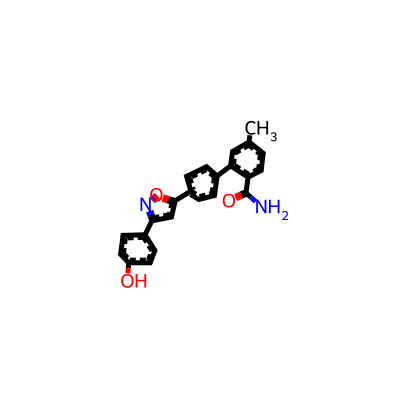 Cc1ccc(C(N)=O)c(-c2ccc(-c3cc(-c4ccc(O)cc4)no3)cc2)c1